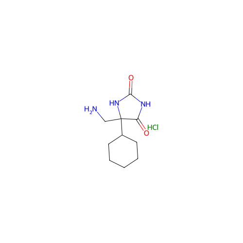 Cl.NCC1(C2CCCCC2)NC(=O)NC1=O